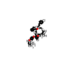 C[C@H]1C(=O)N[C@@H](CO)C(=O)NCCCN(CCCc2ccc(Cl)cc2)C(=O)[C@H]([C@@H]2CCc3ccccc32)CC(=O)N1Cc1ccc(Cl)cc1Oc1ccc(-c2cnc(CN(C)C)n2C)cc1